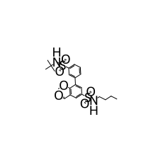 CCCCNS(=O)(=O)c1cc(C=O)c(OC)c(-c2cccc(S(=O)(=O)NC(C)(C)C)c2)c1